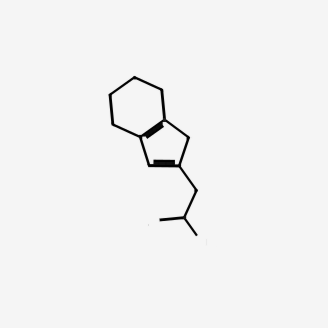 CC(C)CC1=CC2=C([CH]1)CCCC2